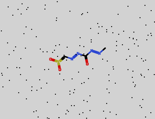 CN=NC(=O)N=NC=S(=O)=O